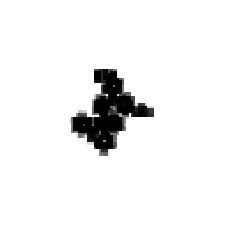 CC(C)(C)c1ccc(B(c2ccc(C(C)(C)C)cc2)c2cccc(-c3cc4c(-c5ccccc5)nc5ccccc5c4c4ccccc34)c2)cc1